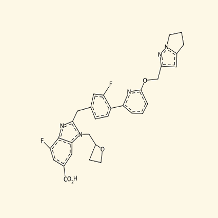 O=C(O)c1cc(F)c2nc(Cc3ccc(-c4cccc(OCc5cc6n(n5)CCC6)n4)c(F)c3)n(CC3CCO3)c2c1